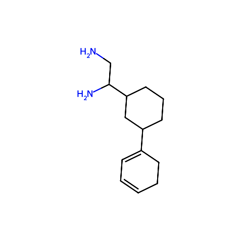 NCC(N)C1CCCC(C2=CC=CCC2)C1